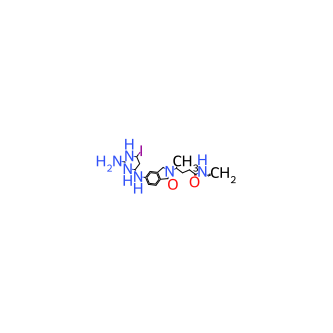 C=CNC(=O)CCC(C)N1Cc2cc(NC3CC(I)NC(N)N3)ccc2C1=O